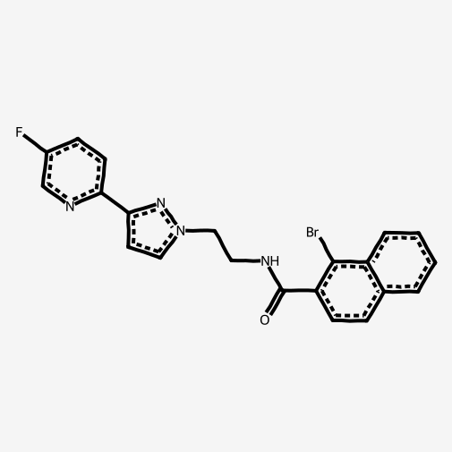 O=C(NCCn1ccc(-c2ccc(F)cn2)n1)c1ccc2ccccc2c1Br